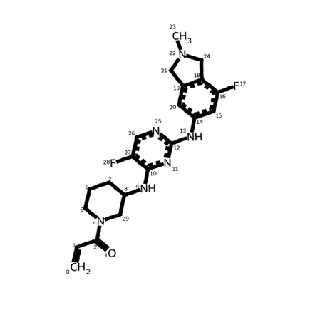 C=CC(=O)N1CCCC(Nc2nc(Nc3cc(F)c4c(c3)CN(C)C4)ncc2F)C1